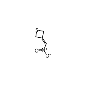 O=[N+]([O-])C=C1CSC1